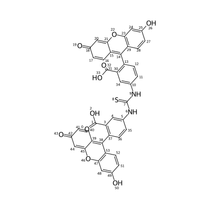 O=C(O)c1cc(NC(=S)Nc2ccc(-c3c4ccc(=O)cc-4oc4cc(O)ccc34)c(C(=O)O)c2)ccc1-c1c2ccc(=O)cc-2oc2cc(O)ccc12